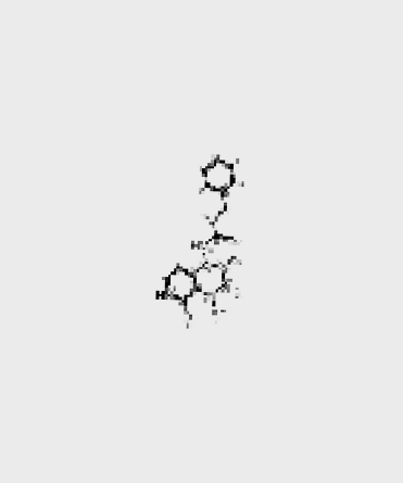 CC(=O)N1c2c(cc[nH]c2=O)[C@H](NC(=O)OCc2ccccc2)[C@@H](C)[C@@H]1C